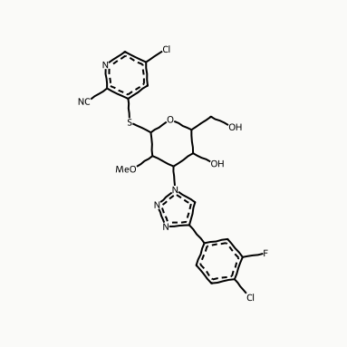 COC1C(Sc2cc(Cl)cnc2C#N)OC(CO)C(O)C1n1cc(-c2ccc(Cl)c(F)c2)nn1